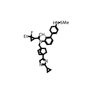 C=C(C1CC1(F)CC)N(CC12CCC(C3=NC(C4CC4)=NC3)(CC1)C2)c1cccc(C2=CC=C(NSC)CC2)c1